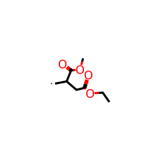 [CH2]C(CC(=O)OCC)C(=O)OC